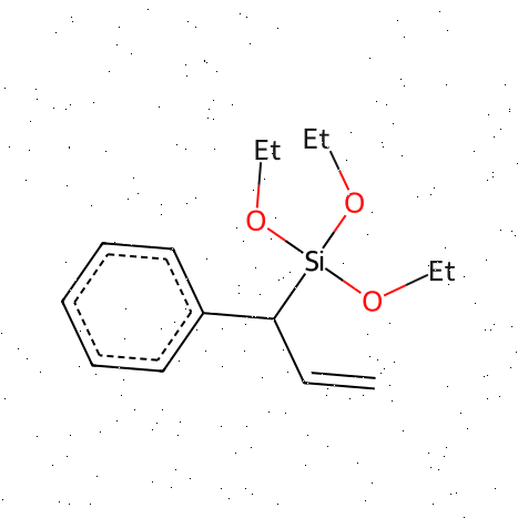 C=CC(c1ccccc1)[Si](OCC)(OCC)OCC